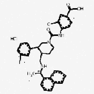 C[C@@H](NCC1CCN(C(=O)Nc2ccc(C(=O)O)cc2Cl)CC1c1cccc(F)c1)c1cccc2ccccc12.Cl